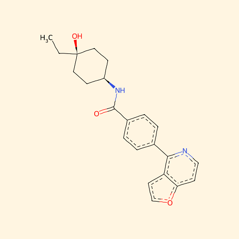 CC[C@]1(O)CC[C@@H](NC(=O)c2ccc(-c3nccc4occc34)cc2)CC1